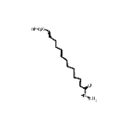 CCCCCCCC=CCCC=CCCCCCCC(=O)NN